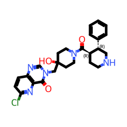 O=C([C@@H]1CCNC[C@H]1c1ccccc1)N1CCC(O)(Cn2cnc3ccc(Cl)nc3c2=O)CC1